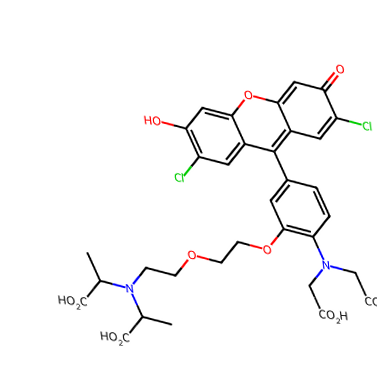 CC(C(=O)O)N(CCOCCOc1cc(-c2c3cc(Cl)c(=O)cc-3oc3cc(O)c(Cl)cc23)ccc1N(CC(=O)O)CC(=O)O)C(C)C(=O)O